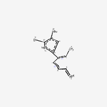 C/C=C(/C=C\C=N)c1cc(CCCC)c(CC)[pH]1